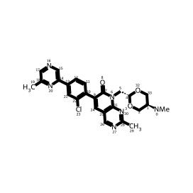 CN[C@H]1CO[C@H](Cn2c(=O)c(-c3ccc(-c4cncc(C)n4)cc3Cl)cc3cnc(C)nc32)OC1